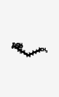 CCCCCCCC/C=C\CCCCCCC(CC(F)(F)F)C(=O)O